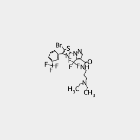 CCN(CC)CCCNC(=O)c1cnn(-c2nc(-c3cccc(C(F)(F)F)c3)c(Br)s2)c1C(F)(F)F